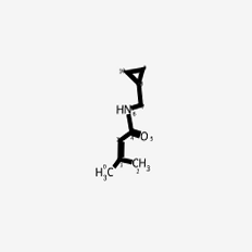 CC(C)=CC(=O)NCC1CC1